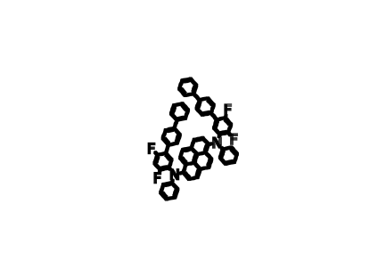 Fc1cc(F)c(N(c2ccccc2)c2ccc3ccc4c(N(c5ccccc5)c5cc(-c6ccc(-c7ccccc7)cc6)c(F)cc5F)ccc5ccc2c3c54)cc1-c1ccc(-c2ccccc2)cc1